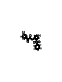 O=C(Cc1c[nH]cc1S(=O)(=O)c1ccccc1)C(=O)c1nc[nH]n1